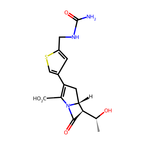 C[C@@H](O)[C@H]1C(=O)N2C(C(=O)O)=C(c3csc(CNC(N)=O)c3)C[C@H]12